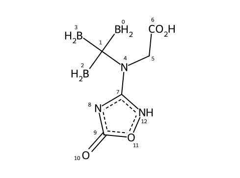 BC(B)(B)N(CC(=O)O)c1nc(=O)o[nH]1